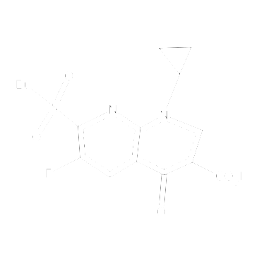 CCS(=O)(=O)c1nc2c(cc1F)c(=O)c(C(=O)O)cn2C1CC1